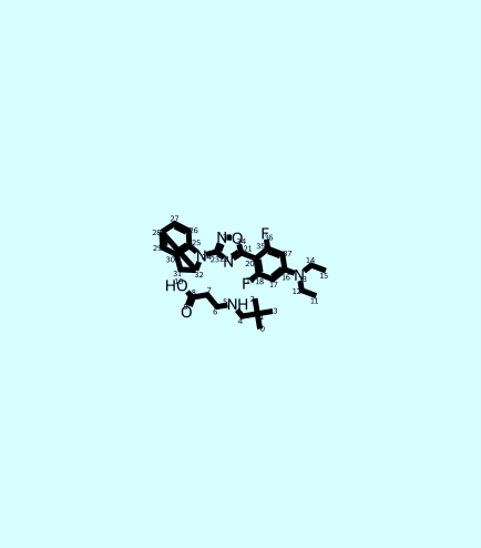 CC(C)(C)CNCCC(=O)O.CCN(CC)c1cc(F)c(-c2nc(N3c4ccc5cc4CC53)no2)c(F)c1